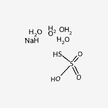 O.O.O.O.O=S(=O)(O)S.[NaH]